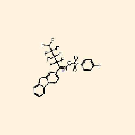 O=S(=O)(O/N=C(/c1ccc2c(c1)Cc1ccccc1-2)C(F)(F)C(F)(F)C(F)(F)C(F)F)c1ccc(F)cc1